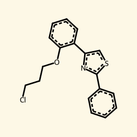 ClCCCOc1ccccc1-c1csc(-c2ccccc2)n1